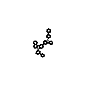 c1ccc(-c2ccc(-n3c4ccccc4c4cc(-c5ccc6c(c5)c5c7ccccc7ccc5n6-c5cccc(-c6ccccc6)c5)ccc43)cc2)cc1